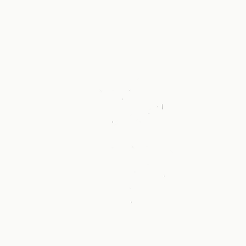 Clc1ccc2c(c1)-c1oc3ccccc3c1C2(c1ccccc1)c1ccc(-c2cc(Cl)cc3c2-c2oc4ccccc4c2C3(c2ccccc2)c2ccccc2)cc1